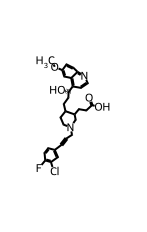 COc1ccc2nccc([C@@H](O)CCC3CCN(CC#Cc4ccc(F)c(Cl)c4)CC3CCC(=O)O)c2c1